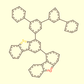 c1ccc(-c2cccc(-c3cc(-c4ccccc4)cc(-c4cc(-c5cccc6oc7ccccc7c56)cc5c4sc4ccccc45)c3)c2)cc1